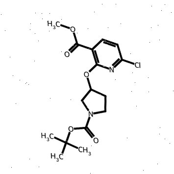 COC(=O)c1ccc(Cl)nc1OC1CCN(C(=O)OC(C)(C)C)C1